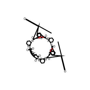 O=C1c2ccc3c4c5ccc(c24)C(=O)N1C1CCCC[C@@H]1N1C(=O)c2ccc4c6c(ccc(c26)C1=O)C(=O)N(C4=O)[C@H]1CCCC[C@@H]1N1C(=O)c2ccc4c6c(ccc(c26)C1=O)C(=O)N(C4=O)C1CCCC[C@@H]1N(C3=O)C5=O